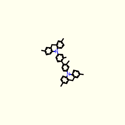 Cc1ccc2c(c1)Cc1cc(C)ccc1N2c1ccc(-c2ccc(N3c4ccc(C)cc4Cc4cc(C)ccc43)cc2C)c(C)c1